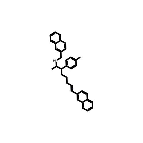 CC(NCc1ccc2ccccc2c1)C(CCC/C=C/c1ccc2ccccc2c1)c1ccc(Cl)cc1